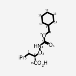 CC(C)C[C@@H](ONC(=O)OCC1CCCCC1)C(=O)O